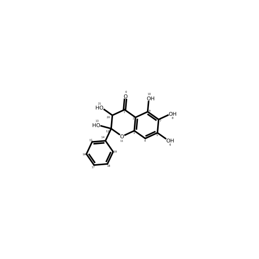 O=C1c2c(cc(O)c(O)c2O)OC(O)(c2ccccc2)C1O